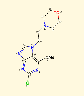 COc1nc(Cl)nc2ncn(CCN3CCOCC3)c12